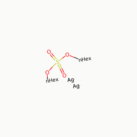 CCCCCCOS(=O)(=O)OCCCCCC.[Ag].[Ag]